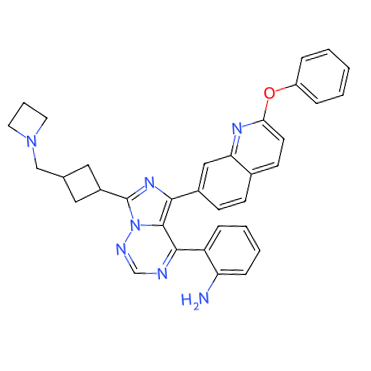 Nc1ccccc1-c1ncnn2c(C3CC(CN4CCC4)C3)nc(-c3ccc4ccc(Oc5ccccc5)nc4c3)c12